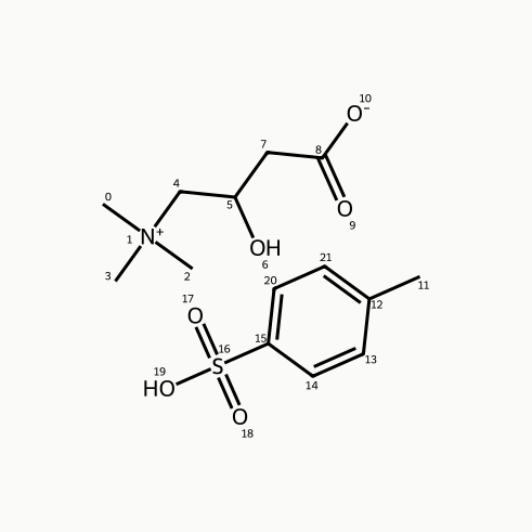 C[N+](C)(C)CC(O)CC(=O)[O-].Cc1ccc(S(=O)(=O)O)cc1